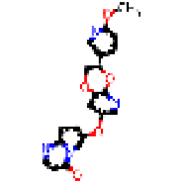 COc1ccc([C@@H]2COc3cc(Oc4ccc5nccc(=O)n5c4)cnc3O2)cn1